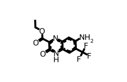 CCOC(=O)c1nc2cc(N)c(C(F)(F)F)cc2[nH]c1=O